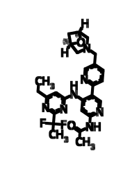 CCc1cc(Nc2cc(NC(C)=O)ncc2-c2ccc(CN3C[C@H]4C[C@@H](C3)O4)cn2)nc(C(C)(F)F)n1